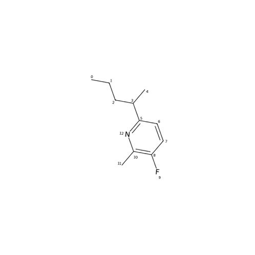 CCCC(C)c1ccc(F)c(C)n1